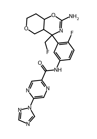 NC1=NC(CF)(c2cc(NC(=O)c3cnc(-n4cncn4)cn3)ccc2F)C2COCCC2O1